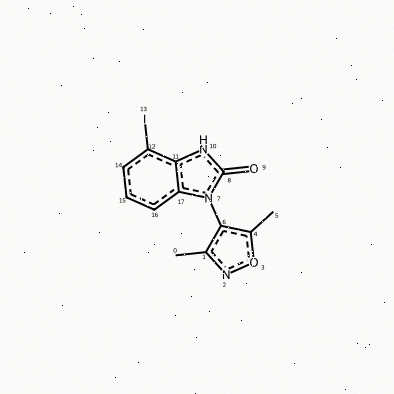 Cc1noc(C)c1-n1c(=O)[nH]c2c(I)cccc21